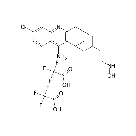 Nc1c2c(nc3cc(Cl)ccc13)CC1C=C(CCNO)CC2C1.O=C(O)C(F)(F)F.O=C(O)C(F)(F)F